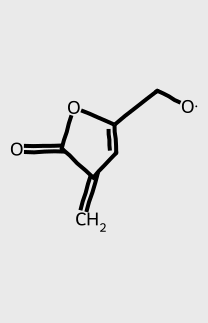 C=C1C=C(C[O])OC1=O